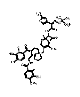 COc1ccc(C(=O)NCCN(CC[N+]2(CC3=C(C(=O)[O-])N4C(=O)[C@@H](NC(=O)/C(=N\OC(C)(C)C(=O)O)c5csc(N)n5)[C@H]4SC3)CCCC2)C(=O)c2ccc(O)c(O)c2Cl)c(Cl)c1O